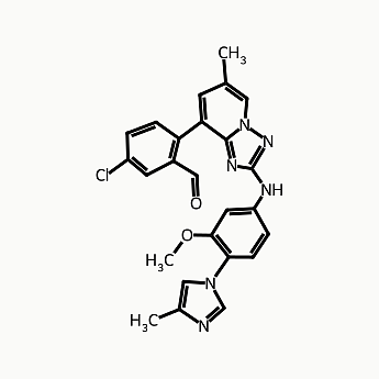 COc1cc(Nc2nc3c(-c4ccc(Cl)cc4C=O)cc(C)cn3n2)ccc1-n1cnc(C)c1